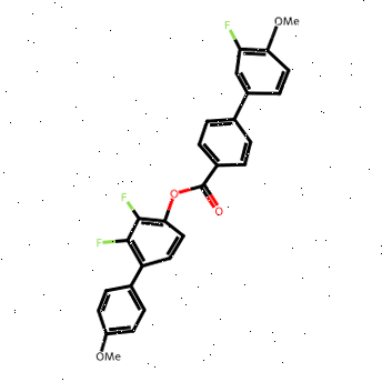 COc1ccc(-c2ccc(OC(=O)c3ccc(-c4ccc(OC)c(F)c4)cc3)c(F)c2F)cc1